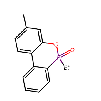 CCP1(=O)Oc2cc(C)ccc2-c2ccccc21